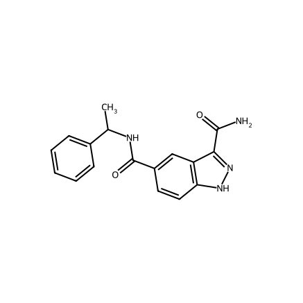 CC(NC(=O)c1ccc2[nH]nc(C(N)=O)c2c1)c1ccccc1